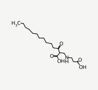 CCCCCCCCCCCC(=O)C(CNCCC(=O)O)C(=O)O